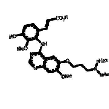 CCCCCCN(CCCCCC)CCCOc1cc2c(Nc3c(/C=C/C(=O)O)ccc(O)c3OC)ncnc2cc1OC